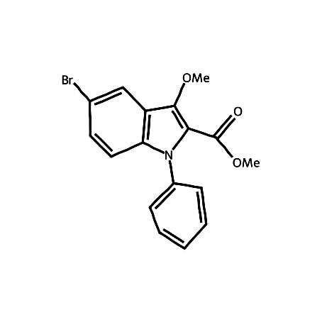 COC(=O)c1c(OC)c2cc(Br)ccc2n1-c1ccccc1